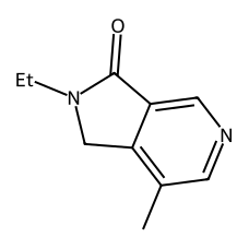 CCN1Cc2c(C)cncc2C1=O